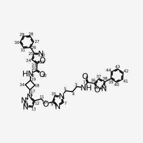 O=C(NCCCn1cnc(OCc2cnnn2C2CC(NC(=O)c3cc(-c4ccccc4)no3)C2)c1)c1cc(-c2ccccc2)no1